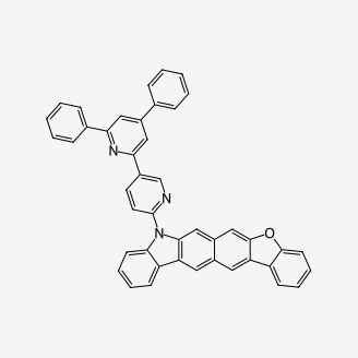 c1ccc(-c2cc(-c3ccccc3)nc(-c3ccc(-n4c5ccccc5c5cc6cc7c(cc6cc54)oc4ccccc47)nc3)c2)cc1